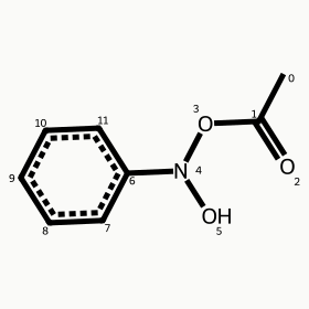 CC(=O)ON(O)c1ccccc1